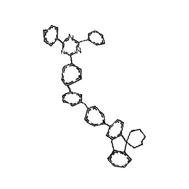 c1ccc(-c2nc(-c3ccccc3)nc(-c3ccc(-c4cccc(-c5ccc(-c6ccc7c(c6)-c6ccccc6C76CCCCC6)cc5)c4)cc3)n2)cc1